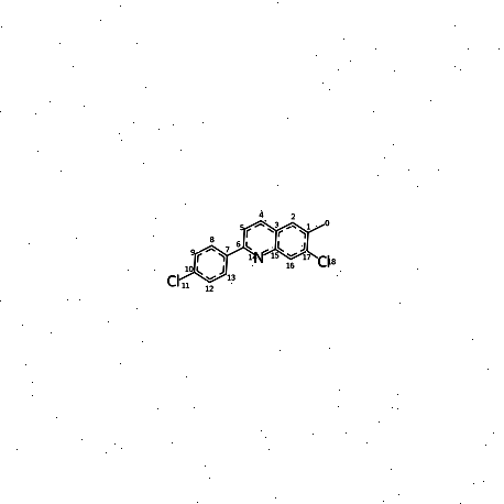 Cc1cc2[c]cc(-c3ccc(Cl)cc3)nc2cc1Cl